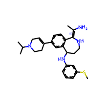 CSc1cccc(NC2CCN/C(=C(/C)N)c3ccc(C4=CCN(C(C)C)CC4)cc32)c1